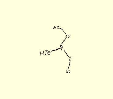 CCOP([TeH])OCC